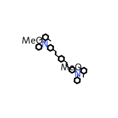 COc1cccc(C)c1N(c1ccccc1)c1ccc(/C=C/c2ccc(/C=C/c3ccc(N(c4ccccc4)c4c(C)cccc4OC)cc3)cc2)cc1